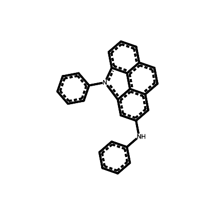 c1ccc(Nc2cc3ccc4cccc5c4c3c(c2)n5-c2ccccc2)cc1